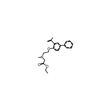 C=C(C)c1cc(-c2ccccc2)ccc1OCCN(C)CC(=O)OCC